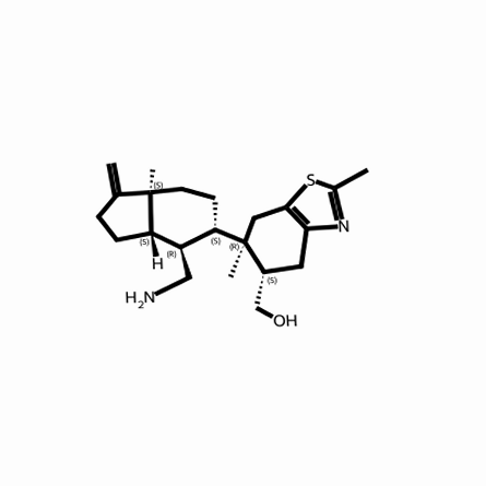 C=C1CC[C@H]2[C@H](CN)[C@@H]([C@@]3(C)Cc4sc(C)nc4C[C@@H]3CO)CC[C@]12C